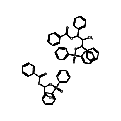 CC(C(OC(=O)c1ccccc1)c1ccccc1)C(OP(=O)(c1ccccc1)c1ccccc1)c1ccccc1.CCC(OC(=O)c1ccccc1)OP(=O)(c1ccccc1)c1ccccc1